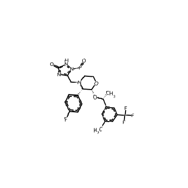 Cc1cc([C@@H](C)O[C@H]2OCCN(Cc3nc(=O)[nH]n3P=O)[C@H]2c2ccc(F)cc2)cc(C(F)(F)F)c1